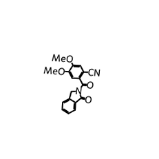 COc1cc(C#N)c(C(=O)N2Cc3ccccc3C2=O)cc1OC